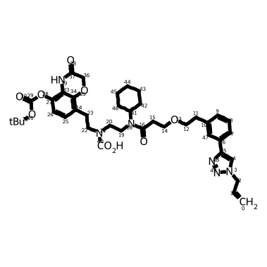 C=CCn1cc(-c2cccc(CCOCCC(=O)N(CCN(CCc3ccc(OC(=O)OC(C)(C)C)c4c3OCC(=O)N4)C(=O)O)C3CCCCC3)c2)nn1